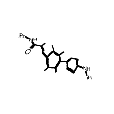 C/C(=C\c1c(C)c(C)c(-c2ccc(NC(C)C)cc2)c(C)c1C)C(=O)NC(C)C